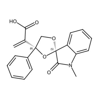 C=C(C(=O)O)[C@]1(c2ccccc2)CO[C@@]2(O1)C(=O)N(C)c1ccccc12